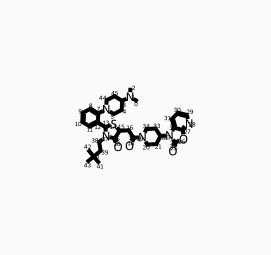 CN(C)C1CCN(c2ccccc2C2SC(CC(=O)N3CCC(n4c(=O)oc5ncccc54)CC3)C(=O)N2CCC(C)(C)C)CC1